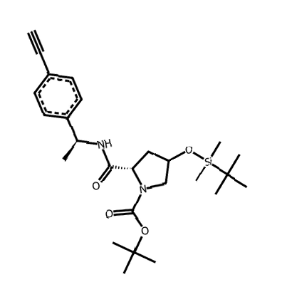 C#Cc1ccc([C@H](C)NC(=O)[C@@H]2CC(O[Si](C)(C)C(C)(C)C)CN2C(=O)OC(C)(C)C)cc1